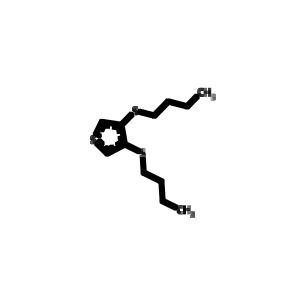 CCCCSc1cscc1SCCCC